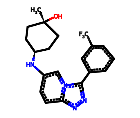 C[C@]1(O)CC[C@H](Nc2ccc3nnc(-c4cccc(C(F)(F)F)c4)n3c2)CC1